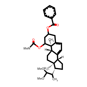 CNC(=O)OC1CC(OC(=O)c2ccccc2)CC2=CC=C3[C@@H]4CC[C@H](C(C)C(OC)OC)[C@@]4(C)CC[C@@H]3[C@]21C